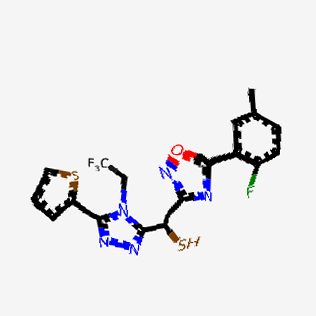 Cc1ccc(F)c(-c2nc(C(S)c3nnc(-c4cccs4)n3CC(F)(F)F)no2)c1